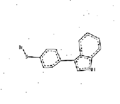 BrSc1ccc(-c2c[nH]c3ccccc23)cc1